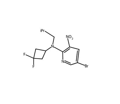 CC(C)CN(c1ncc(Br)cc1[N+](=O)[O-])C1CC(F)(F)C1